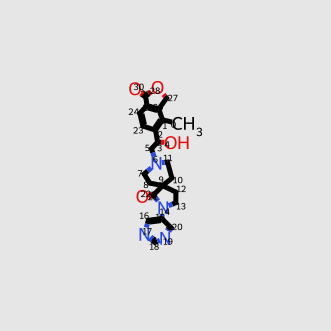 Cc1c(C(O)CN2CCC3(CC2)CCN(c2cncnc2)C3=O)ccc2c1COC2=O